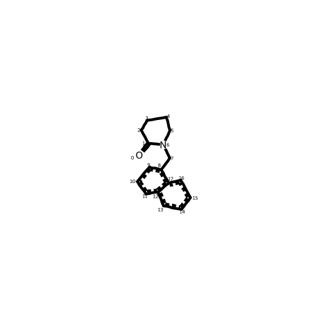 O=C1CCCCN1Cc1cccc2ccccc12